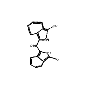 O=C(c1[nH]c(O)c2ccccc12)c1[nH]c(O)c2ccccc12